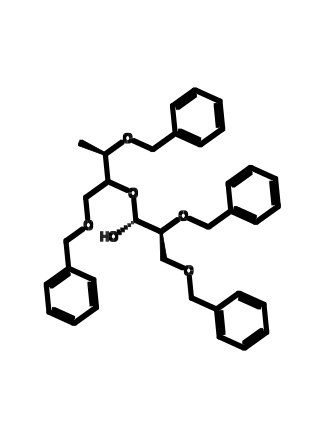 C[C@@H](OCc1ccccc1)C(COCc1ccccc1)O[C@@H](O)[C@H](COCc1ccccc1)OCc1ccccc1